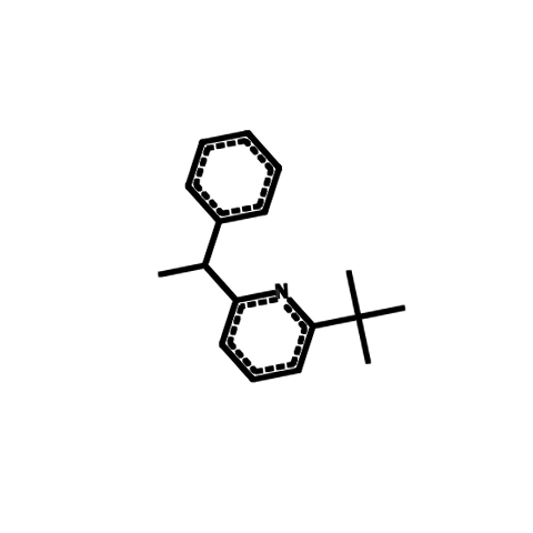 CC(c1ccccc1)c1cccc(C(C)(C)C)n1